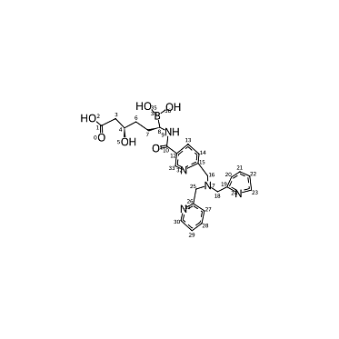 O=C(O)C[C@H](O)CC[C@H](NC(=O)c1ccc(CN(Cc2ccccn2)Cc2ccccn2)nc1)B(O)O